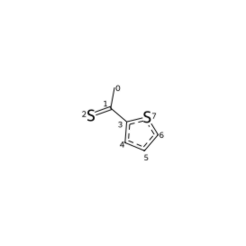 CC(=S)c1cccs1